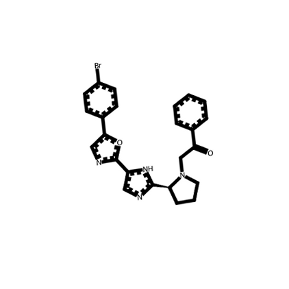 O=C(CN1CCC[C@H]1c1ncc(-c2ncc(-c3ccc(Br)cc3)o2)[nH]1)c1ccccc1